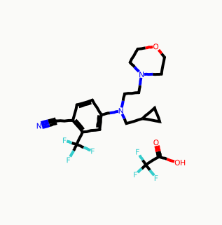 N#Cc1ccc(N(CCN2CCOCC2)CC2CC2)cc1C(F)(F)F.O=C(O)C(F)(F)F